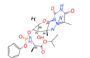 Cc1cn([C@@H]2O[C@@H]3C(OP(=O)(N[C@H](C)C(=O)OC(C)C)Oc4ccccc4)[C@]3(O)[C@@]2(C)N=[N+]=[N-])c(=O)[nH]c1=O